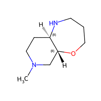 CN1CC[C@H]2NCCCO[C@@H]2C1